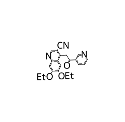 CCOc1cc2ncc(C#N)c(CC(=O)c3cccnc3)c2cc1OCC